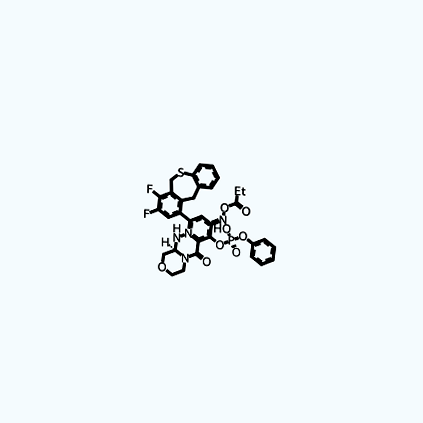 CCC(=O)O/N=c1\cc(-c2cc(F)c(F)c3c2Cc2ccccc2SC3)n2c(c1OP(=O)(O)Oc1ccccc1)C(=O)N1CCOC[C@H]1N2